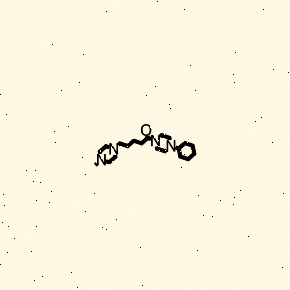 CN1CCN(CCCCC(=O)N2CCN(C3CCCCC3)CC2)CC1